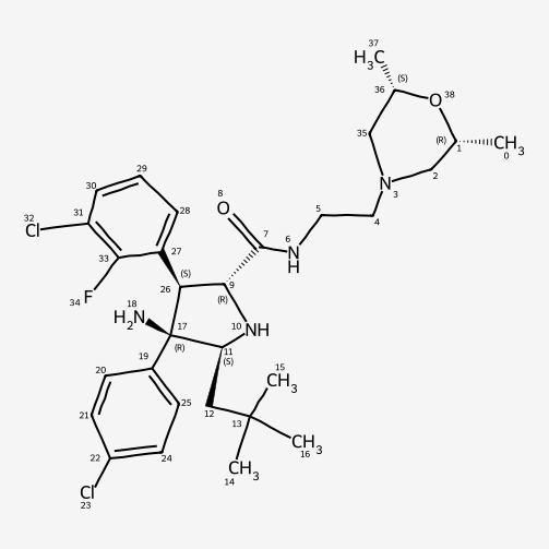 C[C@@H]1CN(CCNC(=O)[C@@H]2N[C@@H](CC(C)(C)C)[C@](N)(c3ccc(Cl)cc3)[C@H]2c2cccc(Cl)c2F)C[C@H](C)O1